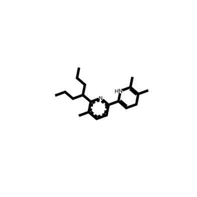 CCCC(CCC)c1nc(C2=CCC(C)=C(C)N2)ccc1C